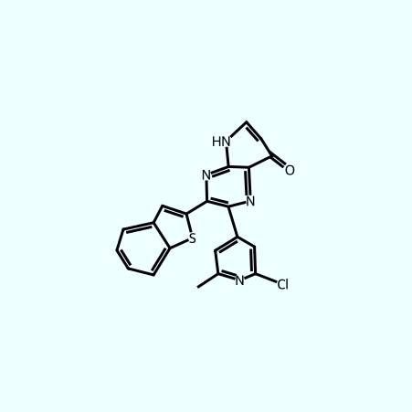 Cc1cc(-c2nc3c(=O)cc[nH]c3nc2-c2cc3ccccc3s2)cc(Cl)n1